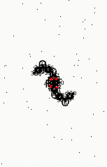 Cc1ccc(C(=O)c2ccc(Oc3ccc(C(c4ccc(Oc5ccc(C(=O)c6ccc(C)cc6)cc5)cc4)(C(F)(F)F)C(F)(F)F)cc3)cc2)cc1